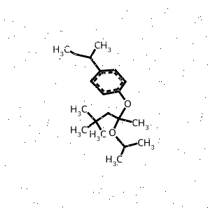 CCC(C)c1ccc(OC(C)(CC(C)(C)C)OC(C)C)cc1